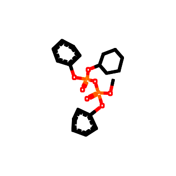 COP(=O)(Oc1ccccc1)OP(=O)(Oc1ccccc1)OC1CCCCC1